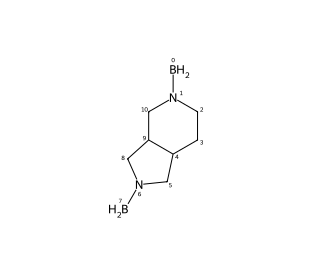 BN1CCC2CN(B)CC2C1